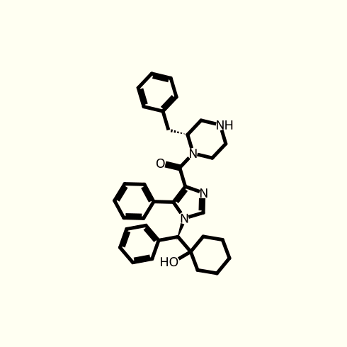 O=C(c1ncn([C@H](c2ccccc2)C2(O)CCCCC2)c1-c1ccccc1)N1CCNC[C@H]1Cc1ccccc1